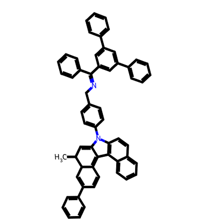 CC1C=c2c(c3c4ccccc4ccc3n2-c2ccc(C/N=C(\c3ccccc3)c3cc(-c4ccccc4)cc(-c4ccccc4)c3)cc2)=C2C=CC(c3ccccc3)=CC21